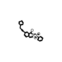 O=c1c2cc(C#CCc3ccccc3)ccc2ccn1CS(=O)(=O)c1ccccc1